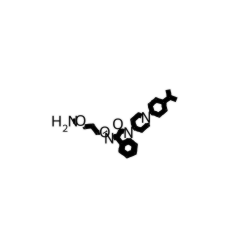 CC(C)C1CCC(N2CCC(N3C(=O)C(=NOCCCON)c4ccccc43)CC2)CC1